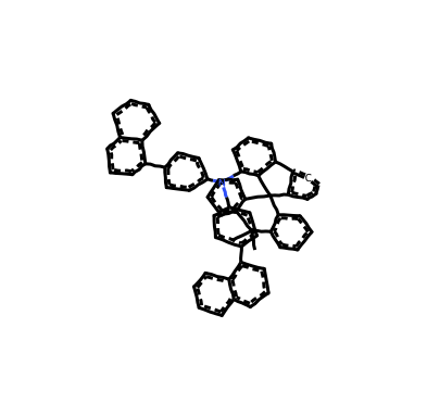 CC1(C)c2ccccc2C2(c3ccccc3-c3cccc(N(c4ccc(-c5cccc6ccccc56)cc4)c4ccc(-c5cccc6ccccc56)cc4)c32)c2ccccc21